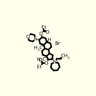 C=CC[N+]1([C@H]2CC3C4CC[C@H]5C[C@H](OC(=O)CC)[C@@H](N6CCOCC6)C[C@]5(C)C4CC[C@]3(C)[C@H]2OC(=O)CC)CCCCCC1.[Br-]